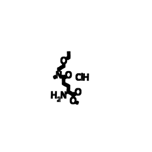 CCOCCN(C)C(=O)CC[C@@H](N)C(=O)OC.Cl